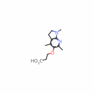 Cc1nc2c(c(C)c1OCCC(=O)O)CCN2C